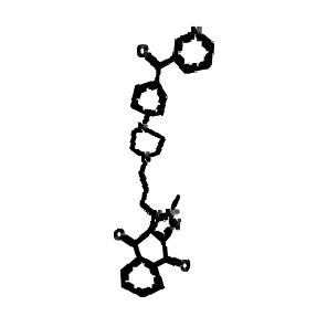 C[n+]1nc2c(n1CCCN1CCN(c3ccc(C(=O)c4cccnc4)cc3)CC1)C(=O)c1ccccc1C2=O